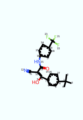 CC(C)(C)c1ccc(C(O)=C(C#N)C(=O)Nc2ccc(C(F)(F)F)cc2)cc1